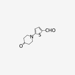 O=Cc1ccc(N2CCC(=O)CC2)s1